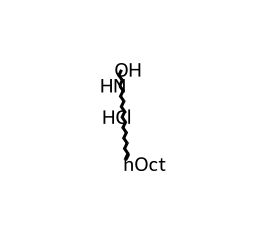 CCCCCCCCC=CCCCCCCCCCCCCNCCO.Cl